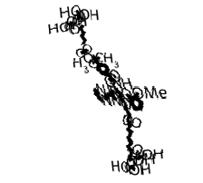 COc1ccccc1Oc1c(NS(=O)(=O)c2ccc(C(C)(C)COC(=O)OCCCCC(CON(O)O)ON(O)O)cc2)nc(-c2ncccn2)nc1OCCOC(=O)CCCCCC(CON(O)O)ON(O)O